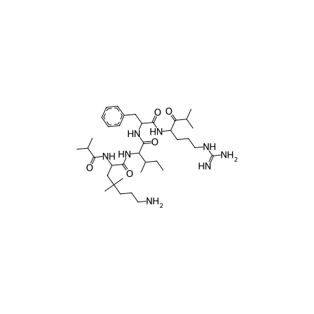 CCC(C)C(NC(=O)C(CC(C)(C)CCCN)NC(=O)C(C)C)C(=O)NC(Cc1ccccc1)C(=O)NC(CCCNC(=N)N)C(=O)C(C)C